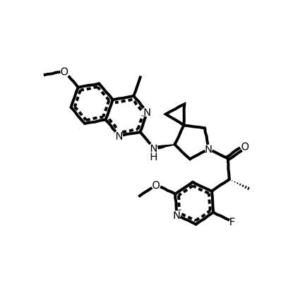 COc1ccc2nc(N[C@@H]3CN(C(=O)[C@H](C)c4cc(OC)ncc4F)CC34CC4)nc(C)c2c1